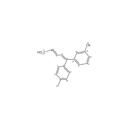 Cc1ccc(/C(=C\C=C\C(=O)O)c2cccc(C#N)c2)cc1